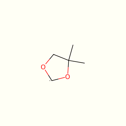 CC1(C)CO[CH]O1